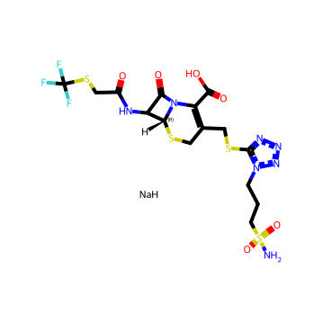 NS(=O)(=O)CCCn1nnnc1SCC1=C(C(=O)O)N2C(=O)C(NC(=O)CSC(F)(F)F)[C@H]2SC1.[NaH]